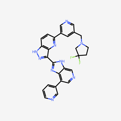 FC1(F)CCN(Cc2cncc(-c3ccc4[nH]nc(-c5nc6c(-c7cccnc7)cncc6[nH]5)c4n3)c2)C1